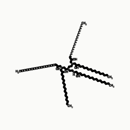 C=C=C=C=C=C=C=C=C=C=C=C=C=C=C=CC(O)CN(CCN(CCNCC(O)CCCCCCCCCCCCCCCC)CCN(CC(O)C=C=C=C=C=C=C=C=C=C=C=C=C=C=C=C)CC(O)CCCCCCCCCCCCCCCC)CC(O)CCCCCCCCCCCCCCCC